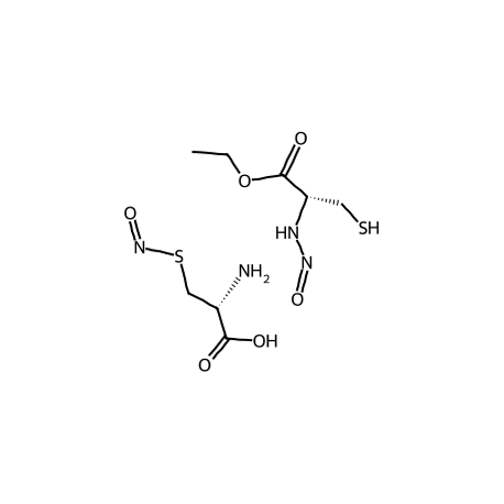 CCOC(=O)[C@H](CS)NN=O.N[C@@H](CSN=O)C(=O)O